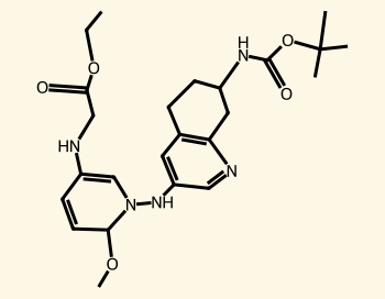 CCOC(=O)CNC1=CN(Nc2cnc3c(c2)CCC(NC(=O)OC(C)(C)C)C3)C(OC)C=C1